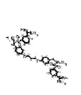 CN(Cc1ccc(OCCCOc2ccc(CN(C)S(=O)(=O)c3cccc(C(=N)N)c3)cc2)cc1)S(=O)(=O)c1cccc(C(=N)N)c1